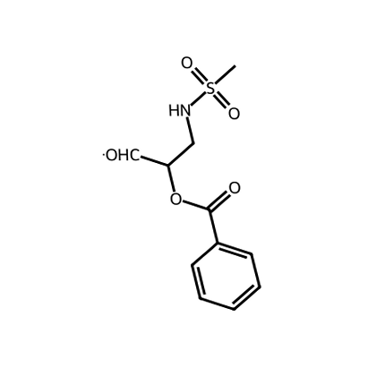 CS(=O)(=O)NCC([C]=O)OC(=O)c1ccccc1